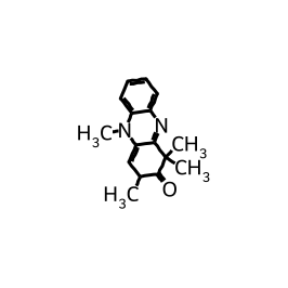 CC1C=C2C(=Nc3ccccc3N2C)C(C)(C)C1=O